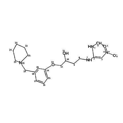 CNC(=C[N+](=O)[O-])NCCC(O)COc1cccc(CN2CCCCC2)c1